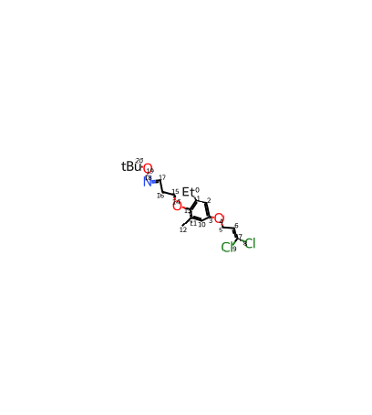 CCc1cc(OCC=C(Cl)Cl)cc(C)c1OCCC=NOC(C)(C)C